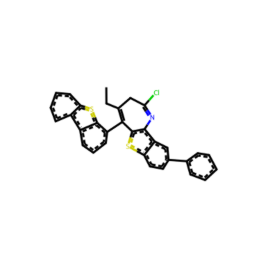 CCC1=C(c2cccc3c2sc2ccccc23)c2sc3ccc(-c4ccccc4)cc3c2N=C(Cl)C1